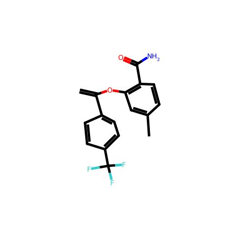 C=C(Oc1cc(C)ccc1C(N)=O)c1ccc(C(F)(F)F)cc1